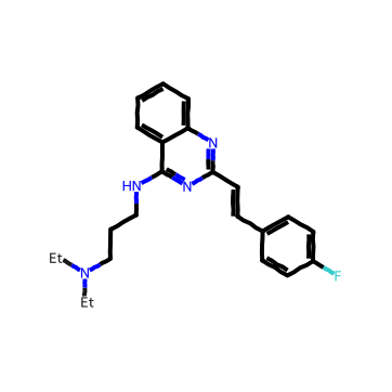 CCN(CC)CCCNc1nc(C=Cc2ccc(F)cc2)nc2ccccc12